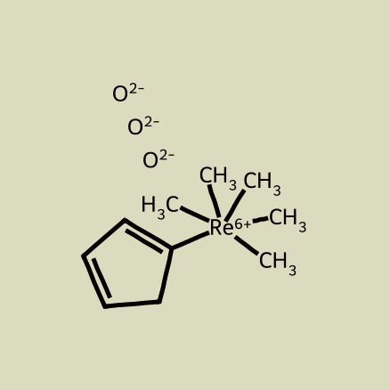 [CH3][Re+6]([CH3])([CH3])([CH3])([CH3])[C]1=CC=CC1.[O-2].[O-2].[O-2]